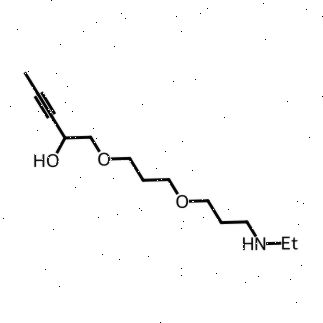 CC#CC(O)COCCCOCCCNCC